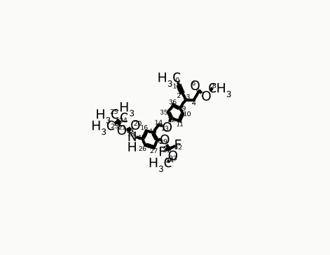 CC#CC(CC(=O)OC)c1ccc(OCc2cc(NC(=O)OC(C)(C)C)ccc2OC(F)(F)OC)cc1